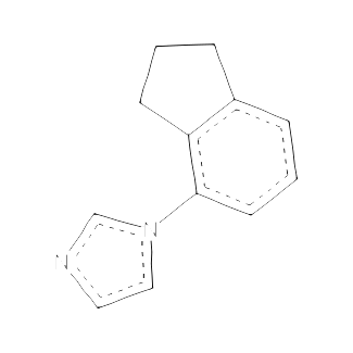 c1cc2c(c(-n3ccnc3)c1)CCC2